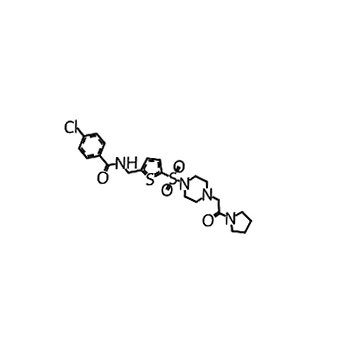 O=C(NCc1ccc(S(=O)(=O)N2CCN(CC(=O)N3CCCC3)CC2)s1)c1ccc(Cl)cc1